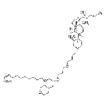 CCCCCCCC/C=C\CCCCCCCCOCC(CC1CCOCC1)OCCCOCCCC[C@H]1CC[C@@]2(C)C(=CC[C@H]3[C@@H]4CC[C@H]([C@H](C)CCCC(C)C)[C@@]4(C)CC[C@@H]32)C1